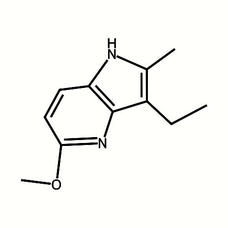 CCc1c(C)[nH]c2ccc(OC)nc12